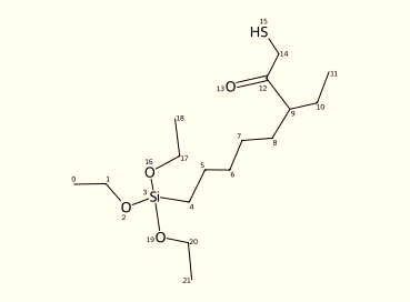 CCO[Si](CCCCCC(CC)C(=O)CS)(OCC)OCC